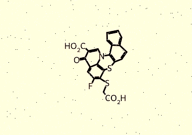 O=C(O)CSc1c(F)cc2c(=O)c(C(=O)O)cn3c2c1Sc1ccc2ccccc2c1-3